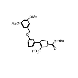 COc1cc(COc2cccc(C3=C(C(=O)O)CN(C(=O)OC(C)(C)C)CC3)n2)cc(OC)c1